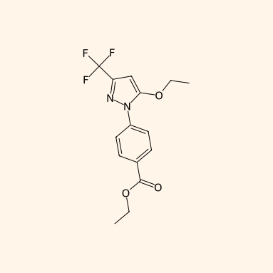 CCOC(=O)c1ccc(-n2nc(C(F)(F)F)cc2OCC)cc1